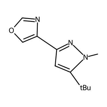 Cn1nc(-c2cocn2)cc1C(C)(C)C